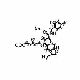 C[C@H]1CO[C@@H]2Cn3cc(C(=O)NCc4ccc(F)cc4F)c(=O)c(OCOC(=O)OCC(=O)[O-])c3C(=O)N12.[Na+]